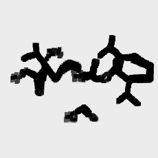 CC(C)c1cccc(C(C)C)c1OC(=O)NCC[C@@](N)(C(N)=O)C(C)C.O=CO